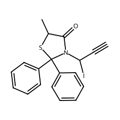 C#CC(I)N1C(=O)C(C)SC1(c1ccccc1)c1ccccc1